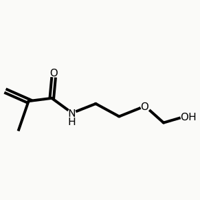 C=C(C)C(=O)NCCOCO